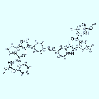 COC(=O)N[C@H](C(=O)N1CCC[C@H]1c1ncc(-c2ccc(C#Cc3ccc4nc([C@@H]5CC6(CC6)CN5C(=O)[C@@H](NC(=O)OC)C(C)C)[nH]c4c3)cc2)[nH]1)c1ccccc1